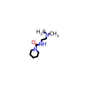 CN(C)CCNC(=O)N1CC[CH]CC1